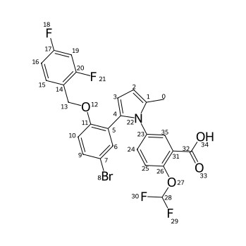 Cc1ccc(-c2cc(Br)ccc2OCc2ccc(F)cc2F)n1-c1ccc(OC(F)F)c(C(=O)O)c1